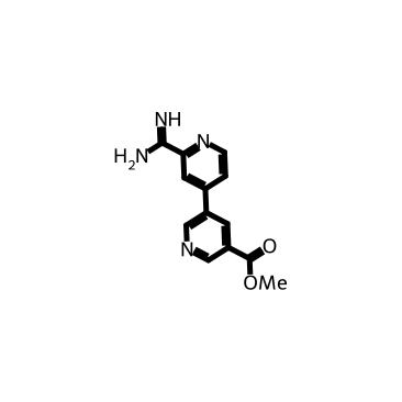 COC(=O)c1cncc(-c2ccnc(C(=N)N)c2)c1